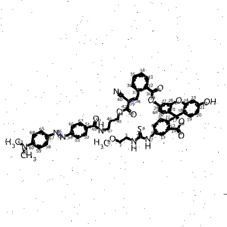 COCCNC(=S)Nc1ccc2c(c1)C(=O)OC21c2ccc(O)cc2Oc2cc(OC(=O)c3ccccc3/C=C(\C#N)C(=O)OCCCNC(=O)c3ccc(/N=N/c4ccc(N(C)C)cc4)cc3)ccc21